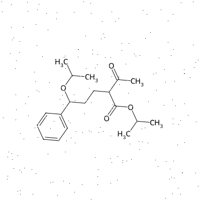 CC(=O)C(CCC(OC(C)C)c1ccccc1)C(=O)OC(C)C